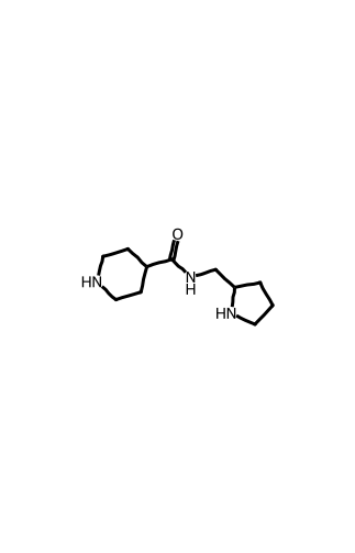 O=C(NCC1CCCN1)C1CCNCC1